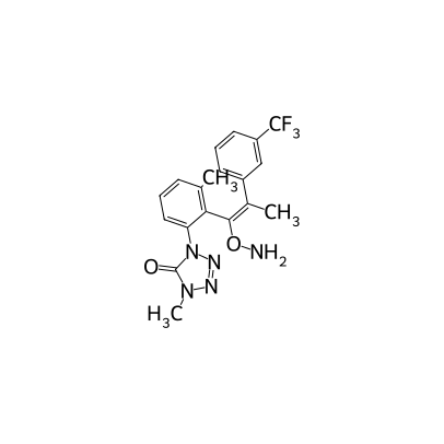 C/C(=C(\ON)c1c(C)cccc1-n1nnn(C)c1=O)c1cccc(C(F)(F)F)c1